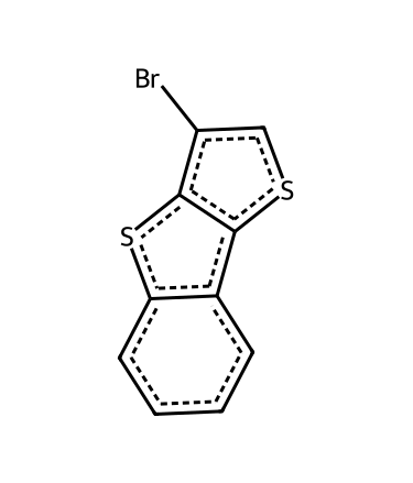 Brc1csc2c1sc1ccccc12